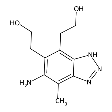 Cc1c(N)c(CCO)c(CCO)c2[nH]nnc12